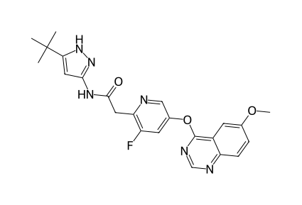 COc1ccc2ncnc(Oc3cnc(CC(=O)Nc4cc(C(C)(C)C)[nH]n4)c(F)c3)c2c1